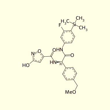 COCc1ccc([C@@H](NC(=O)c2cc(O)no2)C(=O)Nc2ccc([Si](C)(C)C)c(F)c2)cc1